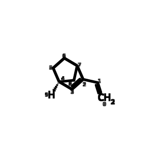 C=CC1=C[C@H]2CCC1C2